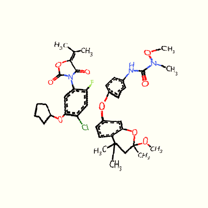 CC(C)=C1OC(=O)N(c2cc(OC3CCCC3)c(Cl)cc2F)C1=O.CON(C)C(=O)Nc1ccc(Oc2ccc3c(c2)OC(C)(OC)CC3(C)C)cc1